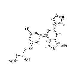 CNCC(O)COc1cc(Cl)cc(-c2cc(-c3cc[nH]n3)nc3c(C(C)C)cnn23)c1